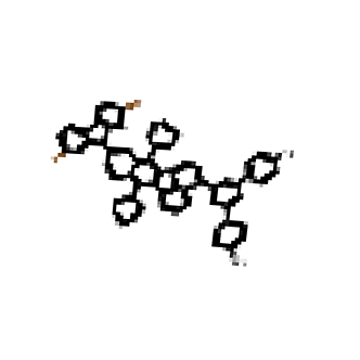 CC(C)(C)c1ccc(-c2cc(-c3ccc(C(C)(C)C)cc3)cc(-c3ccc4c5c(cccc35)-c3c-4c(-c4ccccc4)c4cc(C5c6cc(Br)ccc6-c6ccc(Br)cc65)ccc4c3-c3ccccc3)c2)cc1